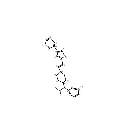 CN(C)C(c1cccc(F)c1)C1CCC(C=Cc2nc(-c3ccccc3)no2)CC1